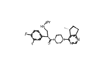 CC(C)NCC(C(=O)N1CCN(c2ncnc3c2[C@H](C)CC3)CC1)c1ccc(F)c(F)c1